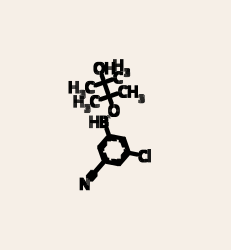 CC(C)(O)C(C)(C)OBc1cc(Cl)cc(C#N)c1